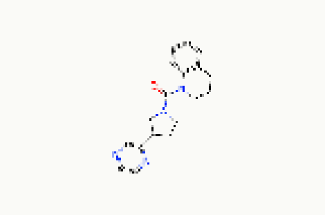 O=C(N1CCC(c2cnccn2)C1)N1CCCc2ccccc21